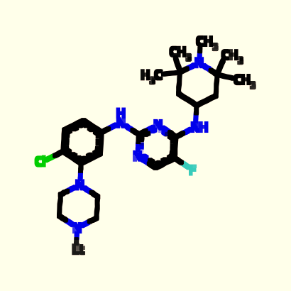 CCN1CCN(c2cc(Nc3ncc(F)c(NC4CC(C)(C)N(C)C(C)(C)C4)n3)ccc2Cl)CC1